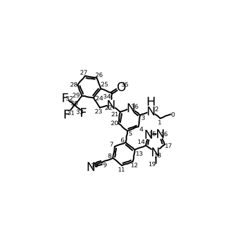 CCNc1cc(-c2cc(C#N)ccc2-c2nncn2C)cc(N2Cc3c(cccc3C(F)(F)F)C2=O)n1